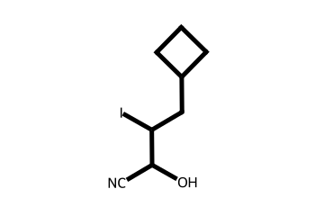 N#CC(O)C(I)CC1CCC1